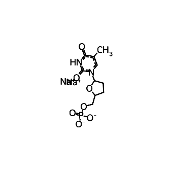 Cc1cn(C2CCC(COP(=O)([O-])[O-])O2)c(=O)[nH]c1=O.[Na+].[Na+]